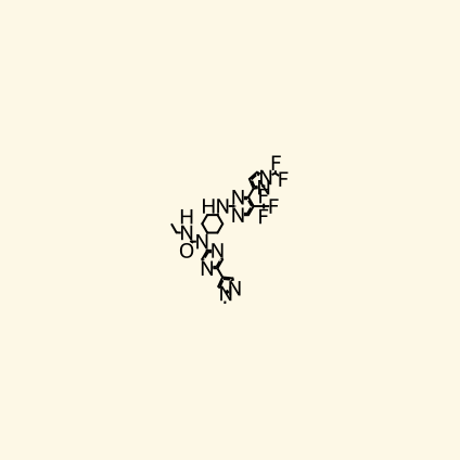 CCNC(=O)N(c1cnc(-c2cnn(C)c2)cn1)[C@H]1CC[C@H](Nc2ncc(C(F)(F)F)c(-c3ccn(C(F)F)n3)n2)CC1